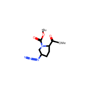 COC(=O)C1CCC(N=[N+]=[N-])CN1C(=O)OC(C)(C)C